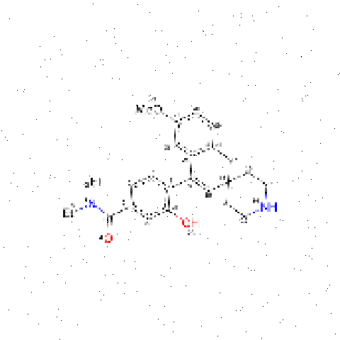 CCN(CC)C(=O)c1ccc(C2=CC3(CCNCC3)Cc3ccc(OC)cc32)c(O)c1